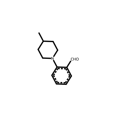 CC1CCN(c2ccccc2C=O)CC1